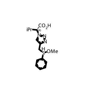 CO[SH](Cc1cn([C@@H](C(=O)O)C(C)C)nn1)c1ccccc1